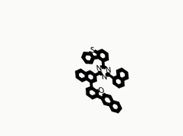 c1ccc2cc3c(cc2c1)oc1c(-c2cc(-c4nc(-c5cccc6ccccc56)nc(-c5cccc6sc7ccccc7c56)n4)cc4ccccc24)cccc13